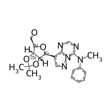 CN(c1ccccc1)c1ncnc2c([C@@H]3O[C@H](C=O)[C@H]4OC(C)(C)O[C@H]43)cnn12